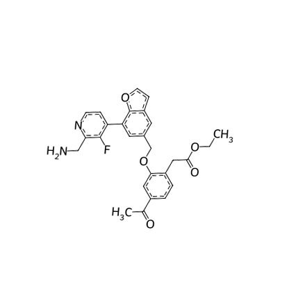 CCOC(=O)Cc1ccc(C(C)=O)cc1OCc1cc(-c2ccnc(CN)c2F)c2occc2c1